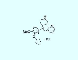 COc1ccc(N(Cc2cccnc2)C2CCNCC2)nc1OC1CCCC1.Cl